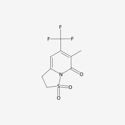 Cc1c(C(F)(F)F)cc2n(c1=O)S(=O)(=O)CC2